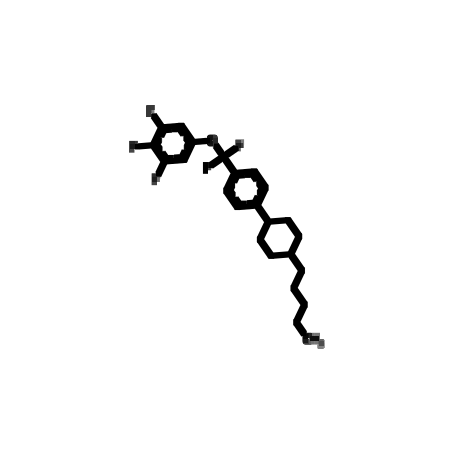 CCCCCC1CCC(c2ccc(C(F)(F)Oc3cc(F)c(F)c(F)c3)cc2)CC1